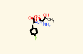 C[C@@H](O)[C@H](N)C(=O)N[C@H](Cc1ccc(F)cc1)C(=O)O